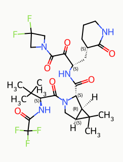 CC(C)(C)[C@H](NC(=O)C(F)(F)F)C(=O)N1C[C@H]2[C@@H]([C@H]1C(=O)N[C@@H](C[C@@H]1CCCNC1=O)C(=O)C(=O)N1CC(F)(F)C1)C2(C)C